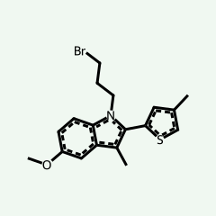 COc1ccc2c(c1)c(C)c(-c1cc(C)cs1)n2CCCBr